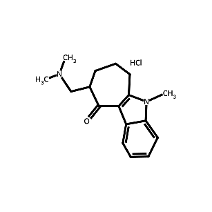 CN(C)CC1CCCc2c(c3ccccc3n2C)C1=O.Cl